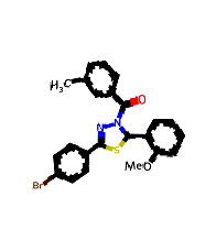 COc1ccccc1C1SC(c2ccc(Br)cc2)=NN1C(=O)c1cccc(C)c1